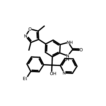 CCc1cccc(C(O)(c2ccccn2)c2cc(-c3c(C)noc3C)cc3[nH]c(=O)[nH]c23)c1